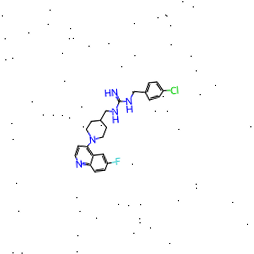 N=C(NCc1ccc(Cl)cc1)NCC1CCN(c2ccnc3ccc(F)cc23)CC1